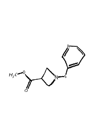 COC(=O)C1CN(Sc2cccnc2)C1